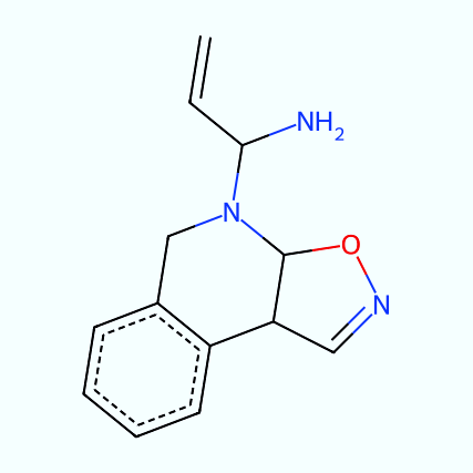 C=CC(N)N1Cc2ccccc2C2C=NOC21